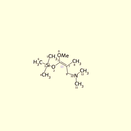 CO/C(O[Si](C)(C)C)=C(\C)CN(C)C